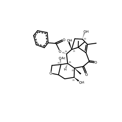 CC(=O)O[C@@]12COC1C[C@H](O)[C@@]1(C)C(=O)C(=O)C3=C(C)[C@@H](O)C[C@@](O)([C@@H](OC(=O)c4ccccc4)[C@@H]12)C3(C)C